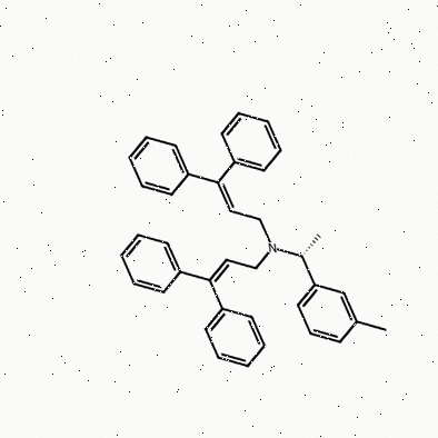 Cc1cccc([C@@H](C)N(CC=C(c2ccccc2)c2ccccc2)CC=C(c2ccccc2)c2ccccc2)c1